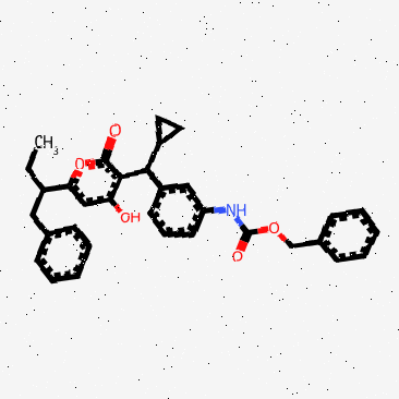 CCC(Cc1ccccc1)c1cc(O)c(C(c2cccc(NC(=O)OCc3ccccc3)c2)C2CC2)c(=O)o1